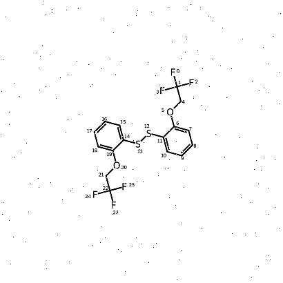 FC(F)(F)COc1ccccc1SSc1ccccc1OCC(F)(F)F